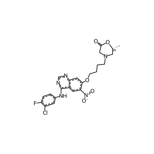 C[C@@H]1CN(CCCCOc2cc3ncnc(Nc4ccc(F)c(Cl)c4)c3cc2[N+](=O)[O-])CC(=O)O1